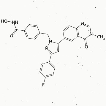 Cn1cnc2ccc(-c3cc(-c4ccc(F)cc4)nn3Cc3ccc(C(=O)NO)cc3)cc2c1=O